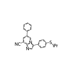 CC(C)Sc1ccc(-c2cnc3c(C#N)cc(-c4ccccc4)cn23)cc1